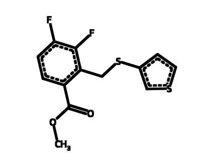 COC(=O)c1ccc(F)c(F)c1CSc1ccsc1